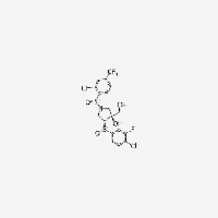 [O-][S+](c1ccc(Cl)c(F)c1)[C@H]1CN([S+]([O-])c2ccc(C(F)(F)F)cc2Cl)C[C@]1(O)CO